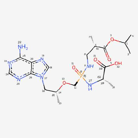 CC(C)OC(=O)[C@@H](C)CN[P@](=O)(CO[C@H](C)Cn1cnc2c(N)ncnc21)N[C@@H](C)C(=O)O